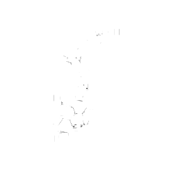 CCOc1cc(CN2CCC3(CC2)CC(=O)N(CCCCC(=O)O)C3)cc(OCC)c1-c1ccc(F)cc1